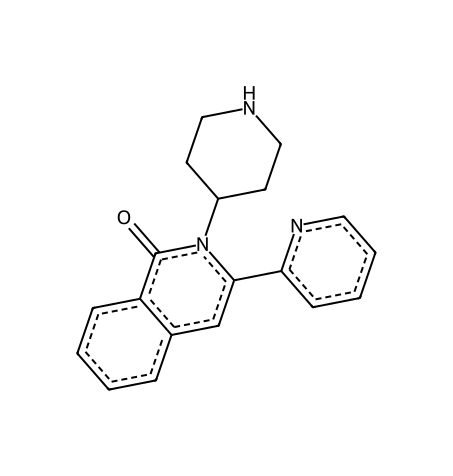 O=c1c2ccccc2cc(-c2ccccn2)n1C1CCNCC1